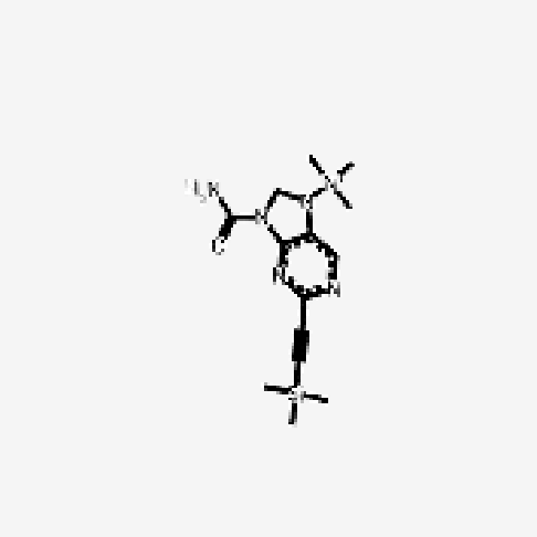 C[N+](C)(C)N1CN(C(N)=O)c2nc(C#C[Si](C)(C)C)ncc21